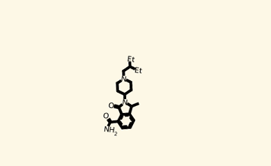 CCC(CC)CN1CCC(N2C(=O)c3c(C(N)=O)cccc3C2C)CC1